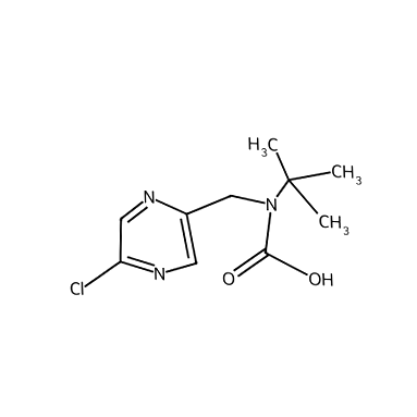 CC(C)(C)N(Cc1cnc(Cl)cn1)C(=O)O